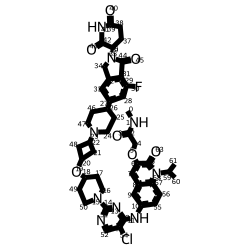 CNC(=O)COc1cc2cc(Nc3nc(N4CCC(OC5CC(N6CCC(c7cc(F)c8c(c7)CN([C@@H]7CCC(=O)NC7=O)C8=O)CC6)C5)CC4)ncc3Cl)ccc2n(C(C)C)c1=O